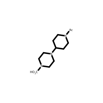 CC(=O)N1CCC(N2CCN(C(=O)O)CC2)CC1